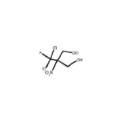 O=[N+]([O-])C(CO)(CO)C(F)(Cl)Cl